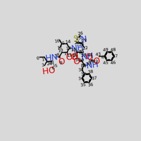 CCC(C)[C@@H](CO)NC(=O)CC(O)C(CC(C)C)NC(=O)[C@H](Cc1cscn1)NC(=O)[C@H](Cc1ccccc1)NC(=O)OCc1ccccc1